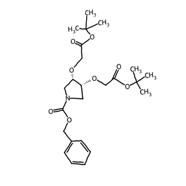 CC(C)(C)OC(=O)CO[C@H]1CN(C(=O)OCc2ccccc2)C[C@H]1OCC(=O)OC(C)(C)C